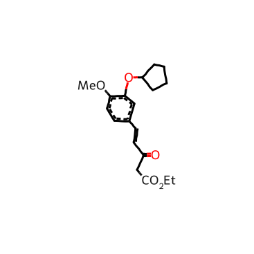 CCOC(=O)CC(=O)C=Cc1ccc(OC)c(OC2CCCC2)c1